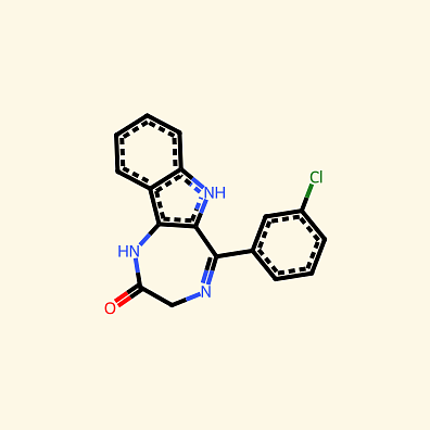 O=C1CN=C(c2cccc(Cl)c2)c2[nH]c3ccccc3c2N1